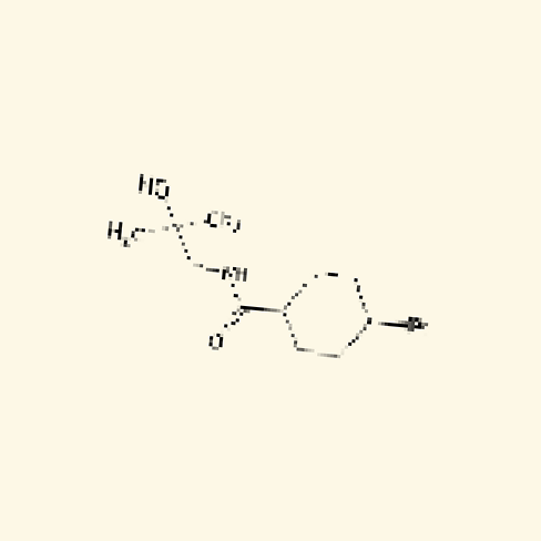 CC(C)[C@H]1CC[C@@H](C(=O)NCC(C)(C)O)CC1